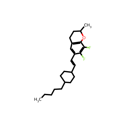 CCCCCC1CCC(/C=C/c2cc3c(c(F)c2F)OC(C)CC3)CC1